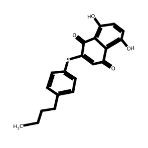 CCCCc1ccc(SC2=CC(=O)c3c(O)ccc(O)c3C2=O)cc1